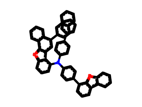 c1ccc(-c2ccc(N(c3ccc(-c4cccc5c4oc4ccccc45)cc3)c3cccc4oc5c6ccccc6c(-c6ccc7ccccc7c6)cc5c34)cc2)cc1